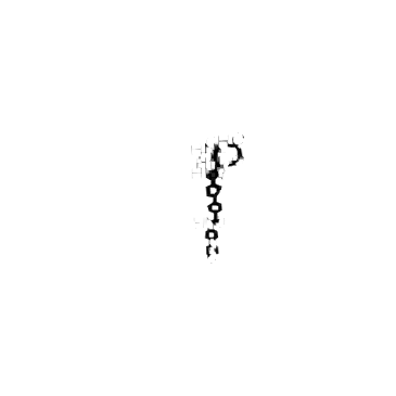 O=CN[C@H]1CCCCCOCC[C@@H](c2nc(-c3ccc(-c4ccc(C(=O)Nc5ccc(N6CCOCC6)cc5)cc4)cc3)c[nH]2)NC1=O